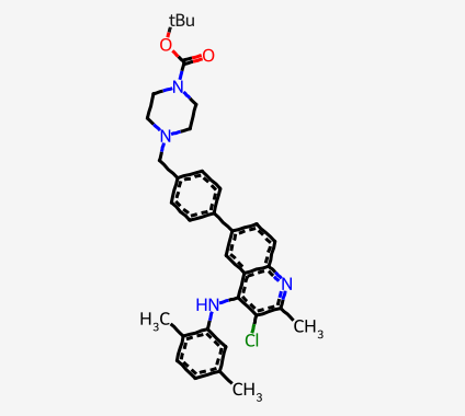 Cc1ccc(C)c(Nc2c(Cl)c(C)nc3ccc(-c4ccc(CN5CCN(C(=O)OC(C)(C)C)CC5)cc4)cc23)c1